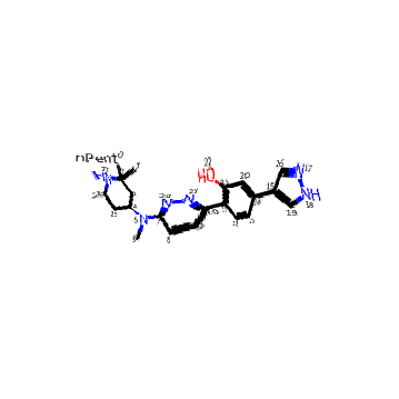 CCCCCC1(C)C[C@@H](N(C)c2ccc(-c3ccc(-c4cn[nH]c4)cc3O)nn2)CCN1